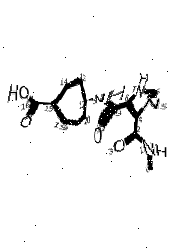 CNC(=O)c1nc[nH]c1C(=O)N[C@H]1CC[C@H](C(=O)O)CC1